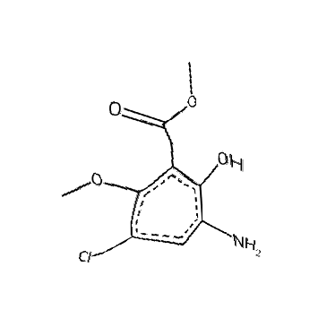 COC(=O)c1c(O)c(N)cc(Cl)c1OC